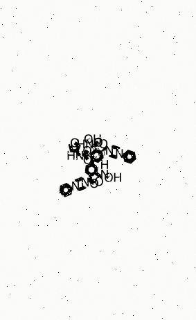 O=C(NC1CCOC1)O[C@]1(C2CCC(C(=O)N3CCN(c4ccccc4)CC3)C(C(=O)NO)C2)CC[C@H](C(=O)N2CCN(c3ccccc3)CC2)[C@@H](C(=O)NO)C1